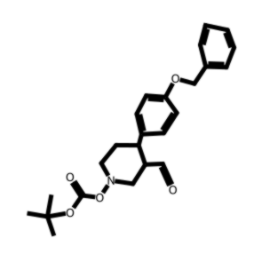 CC(C)(C)OC(=O)ON1CCC(c2ccc(OCc3ccccc3)cc2)C(C=O)C1